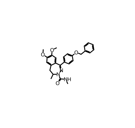 CNC(=O)N1N=C(c2ccc(OCc3ccccc3)cc2)c2cc(OC)c(OC)cc2CC1C